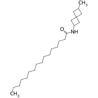 CCCCCCCCCCCCCCCC(=O)NC1CC2(CC(C)C2)C1